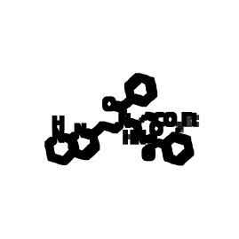 CCOC(=O)C[C@H](NS(=O)(=O)c1ccccc1)N(CCc1ccc2c(n1)NCCC2)C(=O)c1ccccc1